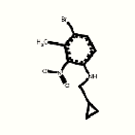 Cc1c(Br)ccc(NCC2CC2)c1[N+](=O)[O-]